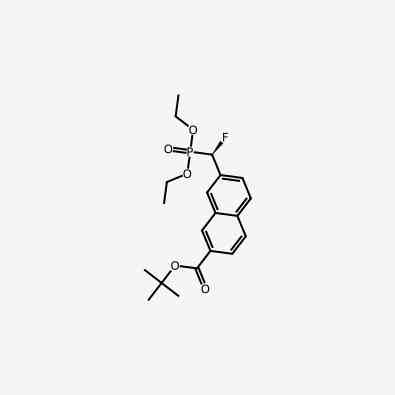 CCOP(=O)(OCC)[C@@H](F)c1ccc2ccc(C(=O)OC(C)(C)C)cc2c1